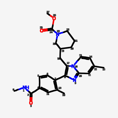 CNC(=O)c1ccc(-c2nc3cc(C)ccn3c2CC2CCCN(C(=O)OC)C2)c(C)c1